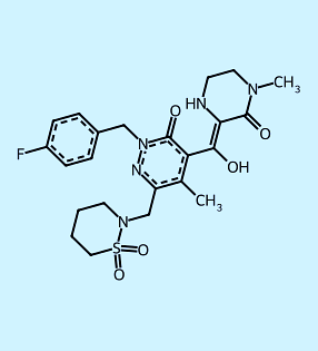 Cc1c(CN2CCCCS2(=O)=O)nn(Cc2ccc(F)cc2)c(=O)c1/C(O)=C1\NCCN(C)C1=O